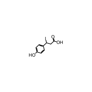 O=C(O)CC(I)c1ccc(O)cc1